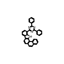 c1ccc(-c2nc(-c3ccccc3)nc(-c3cccc4c3[se]c3c4ccc4ccc5ccccc5c43)n2)cc1